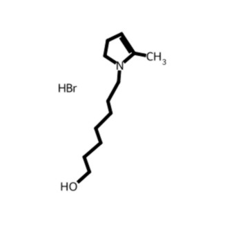 Br.CC1=CCCN1CCCCCCCO